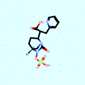 O=C(O)C(Cc1ccccn1)C1CC[C@@H]2CN1C(=O)N2OS(=O)(=O)O